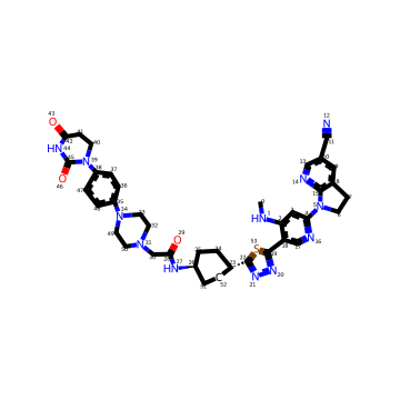 CNc1cc(N2CCc3cc(C#N)cnc32)ncc1-c1nnc([C@H]2CC[C@H](NC(=O)CN3CCN(c4ccc(N5CCC(=O)NC5=O)cc4)CC3)CC2)s1